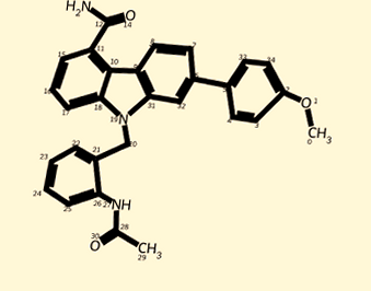 COc1ccc(-c2c[c]c3c4c(C(N)=O)cccc4n(Cc4ccccc4NC(C)=O)c3c2)cc1